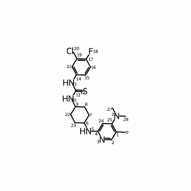 Cc1cnc(NC2CCC(NC(=S)Nc3ccc(F)c(Cl)c3)CC2)cc1N(C)C